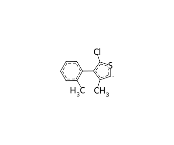 Cc1[c]sc(Cl)c1-c1ccccc1C